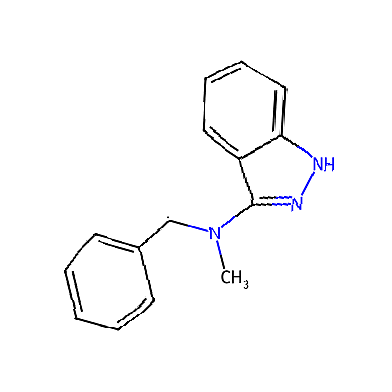 CN([CH]c1ccccc1)c1n[nH]c2ccccc12